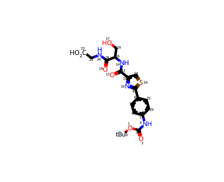 CC(C)(C)OC(=O)Nc1ccc(-c2nc(C(=O)NC(CO)C(=O)NCC(=O)O)cs2)cc1